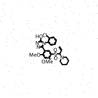 C=CC(N1CCCCC1)S(=O)(=O)c1cc(-c2nnc(O)n2-c2ccccc2Cl)c(OC)cc1OC